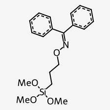 CO[Si](CCCON=C(c1ccccc1)c1ccccc1)(OC)OC